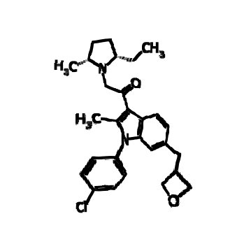 CC[C@H]1CC[C@@H](C)N1CC(=O)c1c(C)n(-c2ccc(Cl)cc2)c2cc(CC3COC3)ccc12